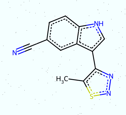 Cc1snnc1-c1c[nH]c2ccc(C#N)cc12